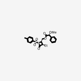 CC[C@H]1C(=O)N(S(=O)(=O)c2ccc(C)cc2)[C@H]1COC(=O)[C@H](OC)c1ccccc1